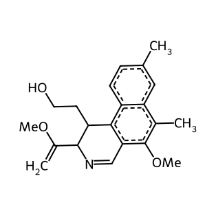 C=C(OC)C1N=Cc2c(OC)c(C)c3cc(C)ccc3c2C1CCO